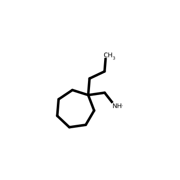 CCCC1(C[NH])CCCCCC1